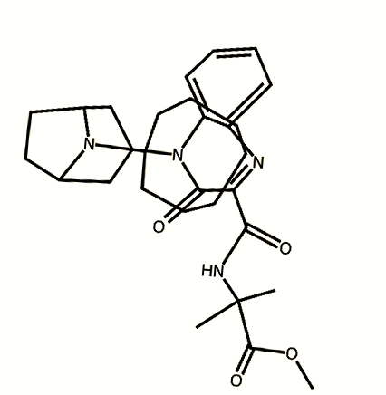 COC(=O)C(C)(C)NC(=O)c1nc2ccccc2n(C2CC3CCC(C2)N3C2CCCCCCC2)c1=O